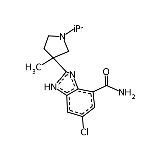 CC(C)N1CCC(C)(c2nc3c(C(N)=O)cc(Cl)cc3[nH]2)C1